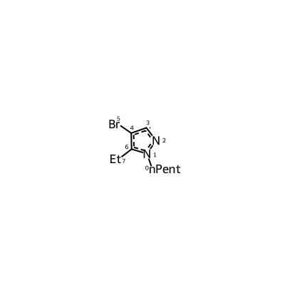 CCCCCn1n[c]c(Br)c1CC